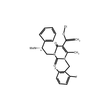 C=C(OCC)c1c(C)n(Cc2c(F)cccc2F)c(=O)n(C[C@H](NC)c2ccccc2)c1=O